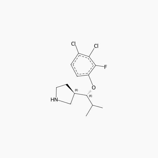 CC(C)[C@@H](Oc1ccc(Cl)c(Cl)c1F)[C@@H]1CCNC1